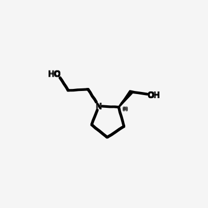 OCCN1CCC[C@@H]1CO